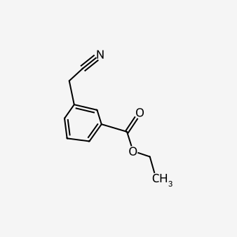 CCOC(=O)c1cccc(CC#N)c1